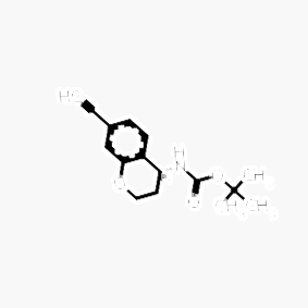 C#Cc1ccc2c(c1)OCC[C@H]2NC(=O)OC(C)(C)C